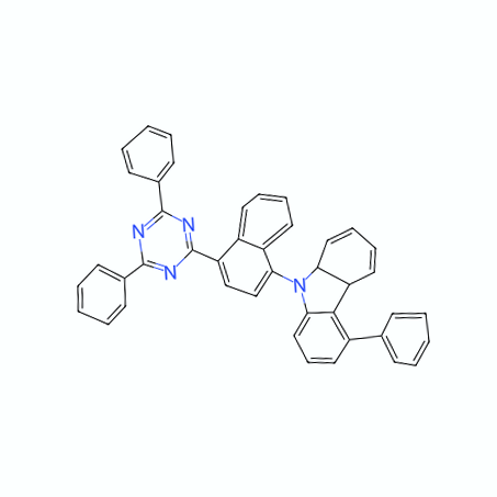 C1=CC2c3c(-c4ccccc4)cccc3N(c3ccc(-c4nc(-c5ccccc5)nc(-c5ccccc5)n4)c4ccccc34)C2C=C1